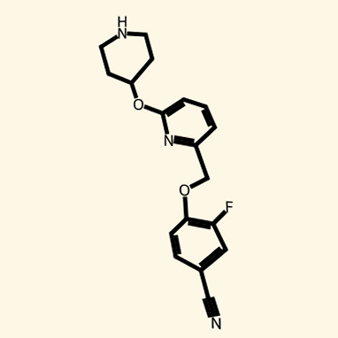 N#Cc1ccc(OCc2cccc(OC3CCNCC3)n2)c(F)c1